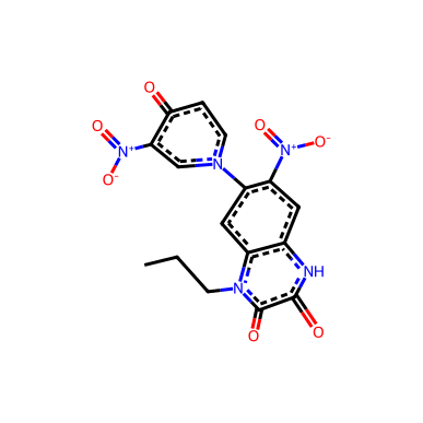 CCCn1c(=O)c(=O)[nH]c2cc([N+](=O)[O-])c(-n3ccc(=O)c([N+](=O)[O-])c3)cc21